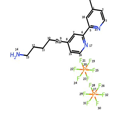 Cc1ccnc(-c2c[c]([Ru][CH2]CCCN)ccn2)c1.F[P-](F)(F)(F)(F)F.F[P-](F)(F)(F)(F)F